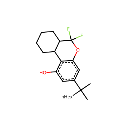 CCCCCCC(C)(C)c1cc(O)c2c(c1)OC(F)(F)C1CCCCC21